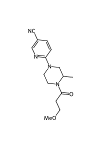 COCCC(=O)N1CCN(c2ccc(C#N)cn2)CC1C